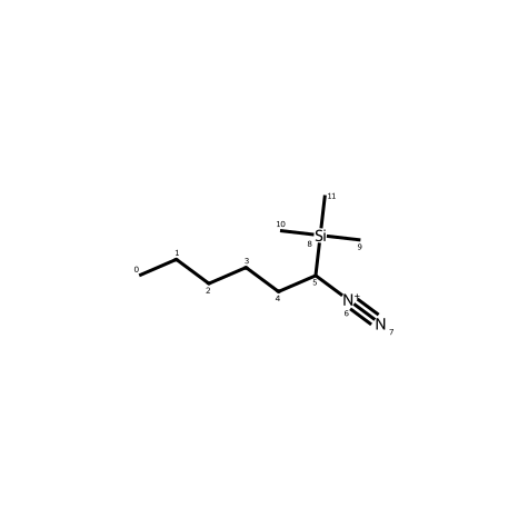 CCCCCC([N+]#N)[Si](C)(C)C